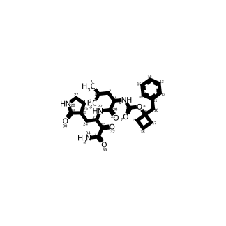 CC(C)CC(NC(=O)OC1(Cc2ccccc2)CCC1)C(=O)NC(CC1CCNC1=O)C(=O)C(N)=O